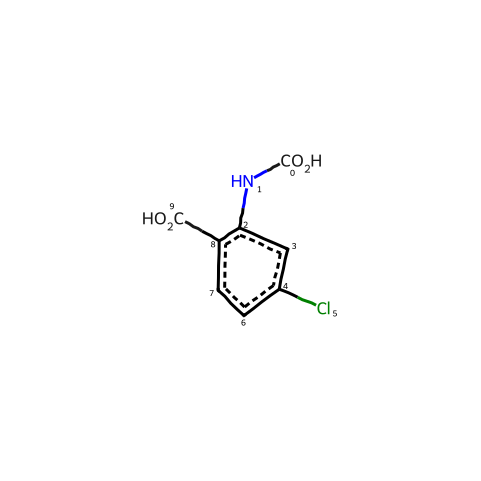 O=C(O)Nc1cc(Cl)ccc1C(=O)O